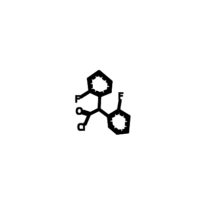 O=C(Cl)C(c1ccccc1F)c1ccccc1F